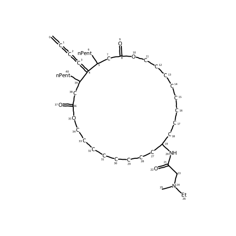 C=C=C=C=C1C(CCCCC)CC(=O)OCCCCCCCCC(NC(=O)CN(C)CC)CCCCCCCCOC(=O)CC1CCCCC